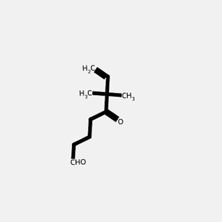 C=CC(C)(C)C(=O)CCCC=O